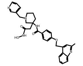 Cc1cc(COc2ccc(C(=O)NC3(CC(=O)NO)CCCN(Cc4cccnc4)C3)cc2)c2ccccc2n1